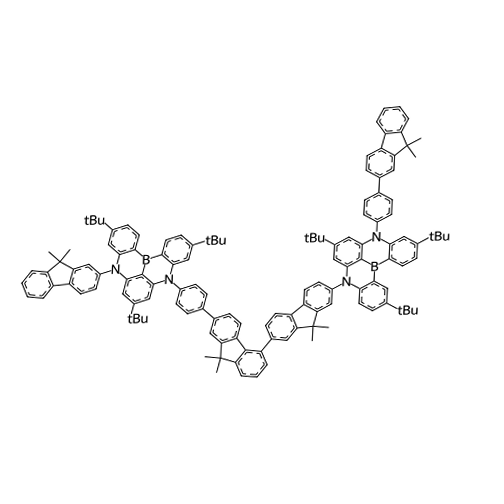 CC(C)(C)c1ccc2c(c1)B1c3ccc(C(C)(C)C)cc3N(c3ccc(-c4ccc5c(c4)C(C)(C)c4ccccc4-5)cc3)c3cc(C(C)(C)C)cc(c31)N2c1ccc2c(c1)C(C)(C)c1cc(-c3cccc4c3-c3ccc(-c5ccc(N6c7cc(C(C)(C)C)ccc7B7c8ccc(C(C)(C)C)cc8N(c8ccc9c(c8)C(C)(C)c8ccccc8-9)c8cc(C(C)(C)C)cc6c87)cc5)cc3C4(C)C)ccc1-2